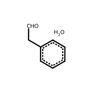 O.O=CCc1ccccc1